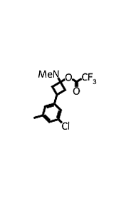 CNC1(OC(=O)C(F)(F)F)CC(c2cc(C)cc(Cl)c2)C1